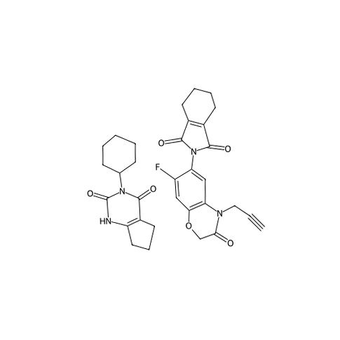 C#CCN1C(=O)COc2cc(F)c(N3C(=O)C4=C(CCCC4)C3=O)cc21.O=c1[nH]c2c(c(=O)n1C1CCCCC1)CCC2